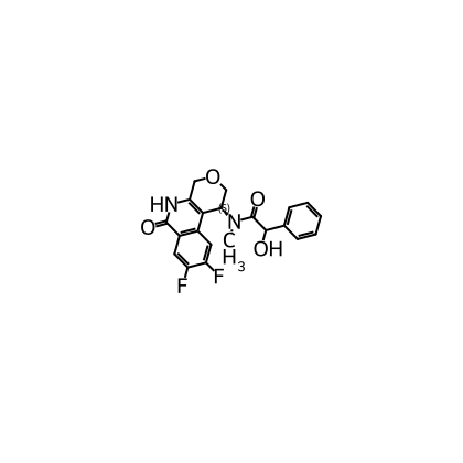 CN(C(=O)C(O)c1ccccc1)[C@@H]1COCc2[nH]c(=O)c3cc(F)c(F)cc3c21